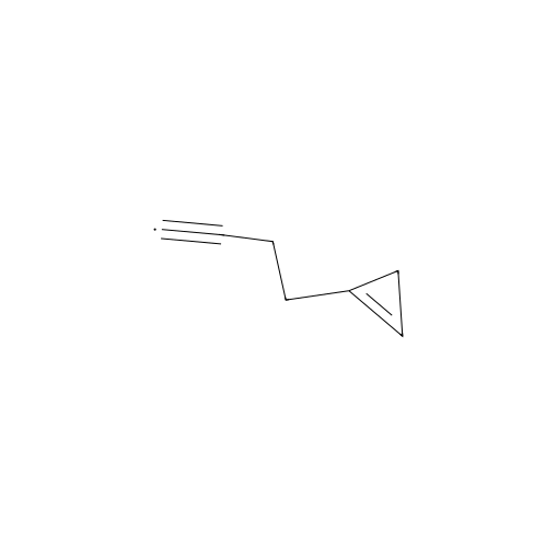 [C]#CCCC1=CC1